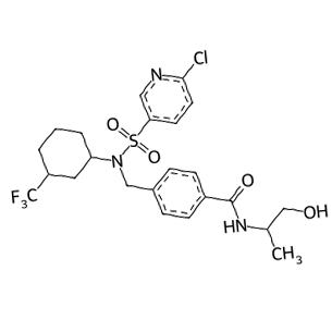 CC(CO)NC(=O)c1ccc(CN(C2CCCC(C(F)(F)F)C2)S(=O)(=O)c2ccc(Cl)nc2)cc1